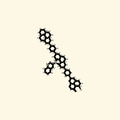 C=c1ccc2cc(-c3ccc(-c4cc5ccc6cc(-c7ccc(-c8cc9ccc%10cccc%11ccc(c8)c9c%10%11)cc7)cc7c6c5c(c4)n7-c4cnc5ccccc5c4)cc3)cc3ccc(C)c1c32